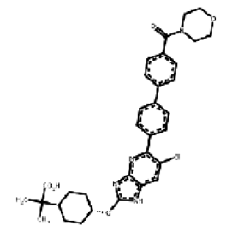 CC(C)(C(=O)O)[C@H]1CC[C@H](Oc2nc3nc(-c4ccc(-c5ccc(C(=O)N6CCOCC6)cc5)cc4)c(Cl)cc3[nH]2)CC1